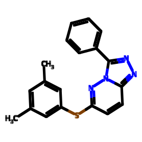 Cc1cc(C)cc(Sc2ccc3nnc(-c4ccccc4)n3n2)c1